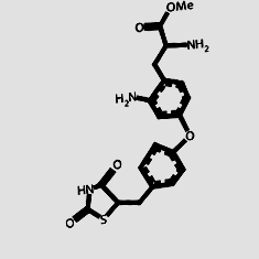 COC(=O)C(N)Cc1ccc(Oc2ccc(CC3SC(=O)NC3=O)cc2)cc1N